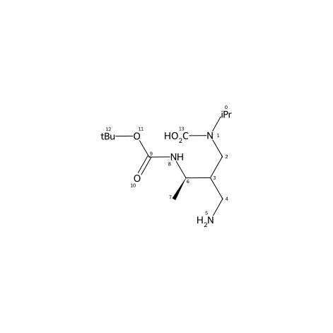 CC(C)N(CC(CN)[C@@H](C)NC(=O)OC(C)(C)C)C(=O)O